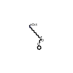 CCCCCCCC/C=C\CCCCCCCCN(C)C(=O)CCOC1CCCCC1